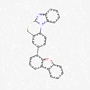 c1ccc2c(c1)nc1n2-c2ccc(-c3cccc4c3oc3ccccc34)cc2CS1